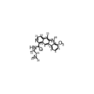 COc1cccc2c3cc4c(C(=O)N[C@H](C)CN(C)C)nccc4c(C)c3n(C)c12